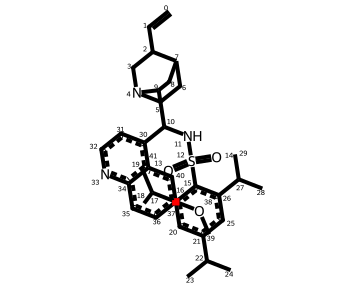 C=CC1CN2CCC1CC2C(NS(=O)(=O)c1c(C(C)C)cc(C(C)C)cc1C(C)C)c1ccnc2ccc(OC)cc12